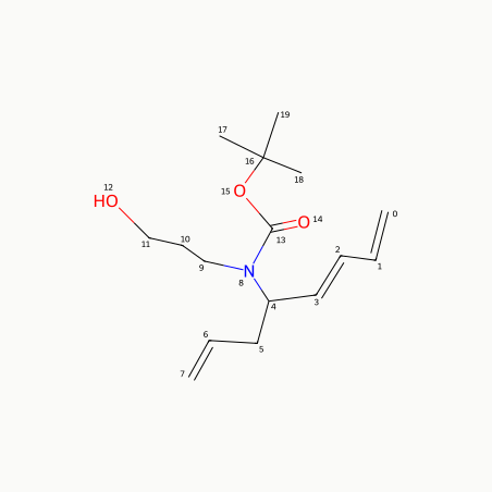 C=CC=CC(CC=C)N(CCCO)C(=O)OC(C)(C)C